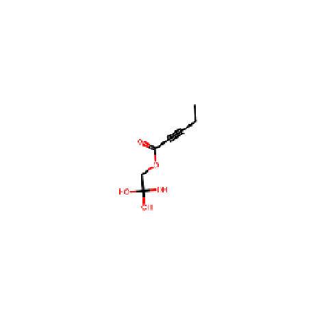 CCC#CC(=O)OCC(O)(O)O